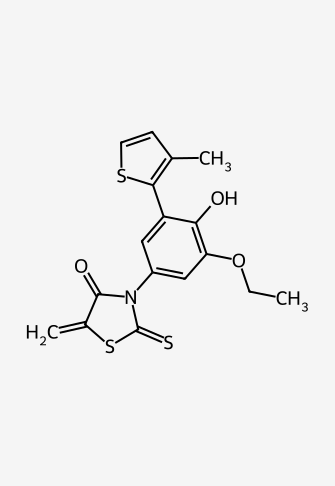 C=C1SC(=S)N(c2cc(OCC)c(O)c(-c3sccc3C)c2)C1=O